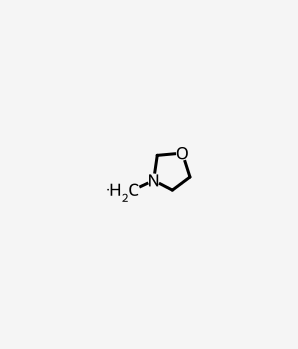 [CH2]N1CCOC1